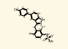 CCCS(=O)(=O)Nc1ccc(F)c(Cc2n[nH]c3ncc(-c4ccc(Cl)cc4)cc23)c1F